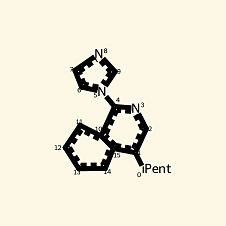 CCCC(C)c1cnc(-n2ccnc2)c2ccccc12